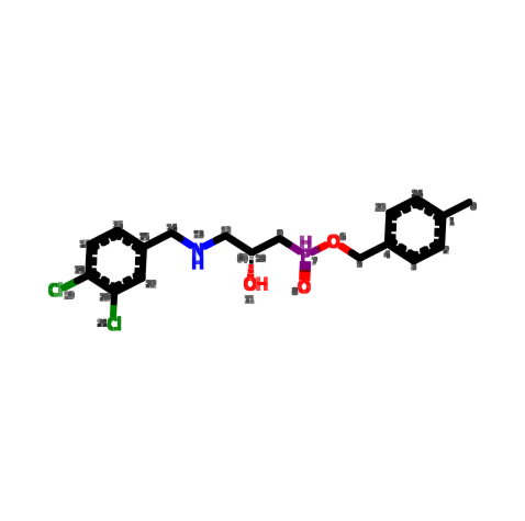 Cc1ccc(CO[PH](=O)C[C@H](O)CNCc2ccc(Cl)c(Cl)c2)cc1